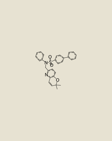 CC1(C)C=Cc2nc(CN(c3ccccc3)S(=O)(=O)c3ccc(-c4ccccc4)cc3)ccc2O1